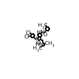 Cc1cccc(C(=O)Nc2ccc3c(c2)/C(=C/c2[nH]c(C)cc2C)C(=O)N3Cc2ccc(Cl)c(Cl)c2)c1